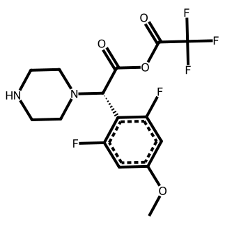 COc1cc(F)c([C@@H](C(=O)OC(=O)C(F)(F)F)N2CCNCC2)c(F)c1